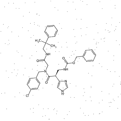 CC(C)(CNC(=O)CN(Cc1ccc(Cl)cc1)C(=O)[C@@H](CNC(=O)OCc1ccccc1)c1c[nH]cn1)c1ccccc1